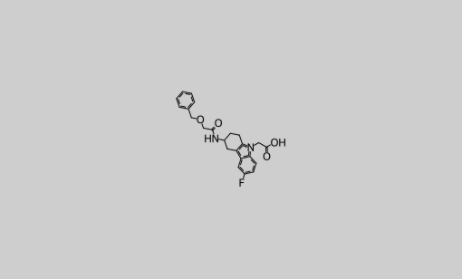 O=C(O)Cn1c2c(c3cc(F)ccc31)CC(NC(=O)COCc1ccccc1)CC2